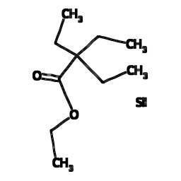 CCOC(=O)C(CC)(CC)CC.[Si]